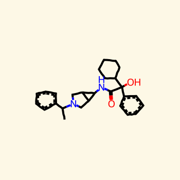 CC(c1ccccc1)N1CC2C(C1)C2NC(=O)C(O)(c1ccccc1)C1CCCCC1